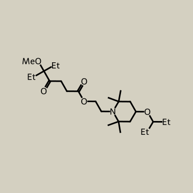 CCC(CC)OC1CC(C)(C)N(CCOC(=O)CCC(=O)C(CC)(CC)OC)C(C)(C)C1